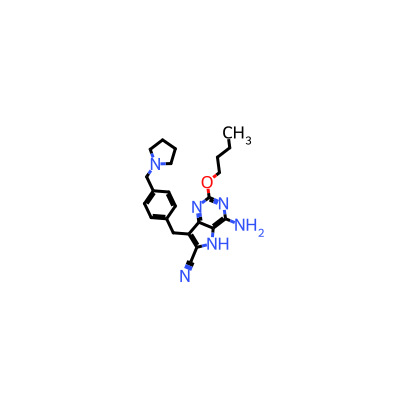 CCCCOc1nc(N)c2[nH]c(C#N)c(Cc3ccc(CN4CCCC4)cc3)c2n1